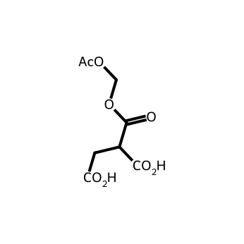 CC(=O)OCOC(=O)C(CC(=O)O)C(=O)O